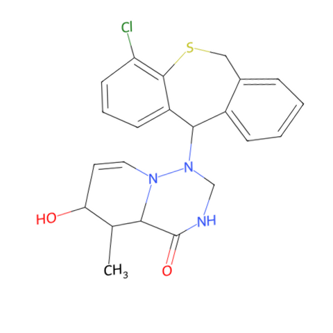 CC1C(O)C=CN2C1C(=O)NCN2C1c2ccccc2CSc2c(Cl)cccc21